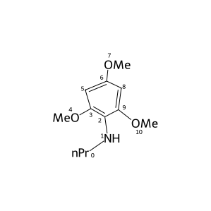 CCCNc1c(OC)cc(OC)cc1OC